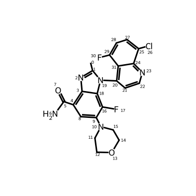 Cc1nc2c(C(N)=O)cc(N3CCOCC3)c(F)c2n1-c1ccnc2c(Cl)ccc(F)c12